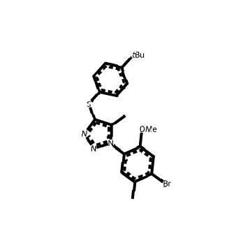 COc1cc(Br)c(C)cc1-n1nnc(Sc2ccc(C(C)(C)C)cc2)c1C